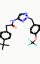 CC(C)(C)c1ccc(CC(=O)Nc2cnn(Cc3ccc(OC(F)(F)F)cc3)n2)cc1